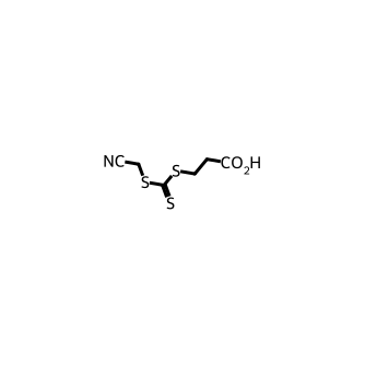 N#CCSC(=S)SCCC(=O)O